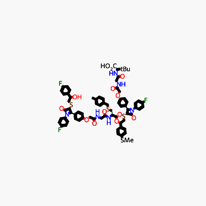 CSc1ccc(C(CS[C@H]2C(=O)N(c3ccc(F)cc3)[C@@H]2c2ccc(OCC(=O)NCC(=O)N[C@@H](C(=O)O)C(C)(C)C)cc2)OC(=O)[C@@H](CSCc2ccc(C)cc2)NC(=O)CNC(=O)COc2ccc([C@@H]3[C@@H](SCC(O)c4ccc(F)cc4)C(=O)N3c3ccc(F)cc3)cc2)cc1